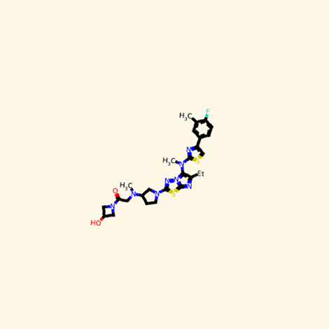 CCc1nc2sc(N3CCC(N(C)CC(=O)N4CC(O)C4)C3)nn2c1N(C)c1nc(-c2ccc(F)c(C)c2)cs1